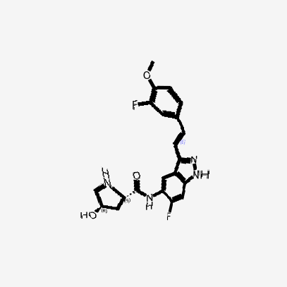 COc1ccc(/C=C/c2n[nH]c3cc(F)c(NC(=O)[C@@H]4C[C@@H](O)CN4)cc23)cc1F